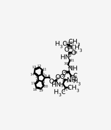 CC(C)[C@H](NC(=O)OCC1c2ccccc2-c2ccccc21)C(=O)N[C@@H](C)C(=O)NCCNC(=O)OC(C)(C)C